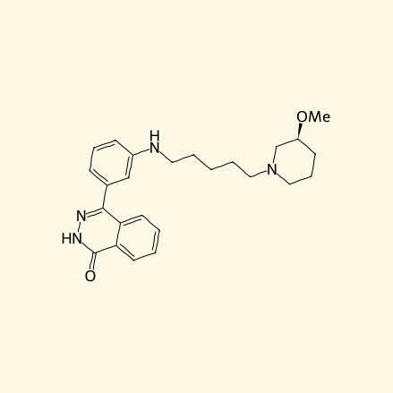 CO[C@H]1CCCN(CCCCCNc2cccc(-c3n[nH]c(=O)c4ccccc34)c2)C1